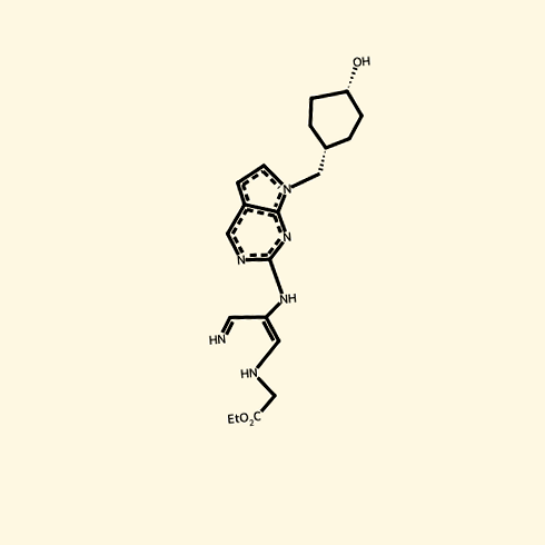 CCOC(=O)CN/C=C(\C=N)Nc1ncc2ccn(C[C@H]3CC[C@@H](O)CC3)c2n1